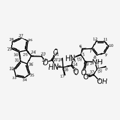 C[C@H](NC(=O)[C@H](Cc1ccccc1)NC(=O)C(C)(C)NC(=O)OCC1c2ccccc2-c2ccccc21)C(=O)O